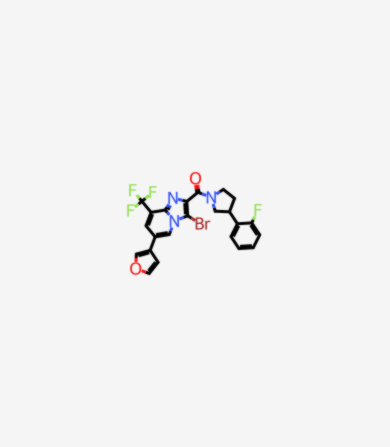 O=C(c1nc2c(C(F)(F)F)cc(-c3ccoc3)cn2c1Br)N1CCC(c2ccccc2F)C1